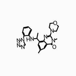 Cc1cc(C(C)Nc2ccccc2-n2cnnn2)c2nc(N3CCOCC3)n(C)c(=O)c2c1